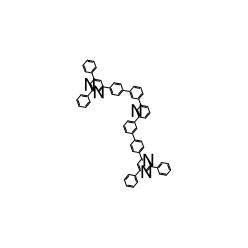 c1ccc(-c2cc(-c3ccc(-c4cccc(-c5cccc(-c6cccc(-c7ccc(-c8cc(-c9ccccc9)nc(-c9ccccc9)n8)cc7)c6)n5)c4)cc3)nc(-c3ccccc3)n2)cc1